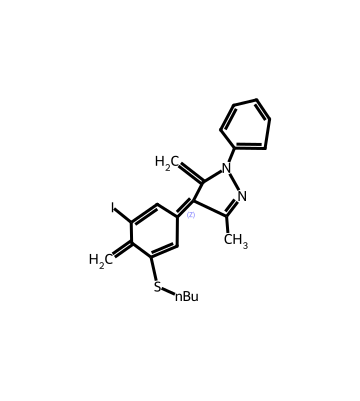 C=c1c(I)c/c(=c2/c(C)nn(-c3ccccc3)c2=C)cc1SCCCC